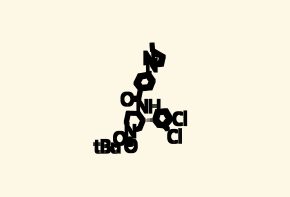 Cc1ccn(-c2ccc(C(=O)N[C@@H]3CCN(C(=O)OC(C)(C)C)C[C@H]3c3ccc(Cl)c(Cl)c3)cc2)n1